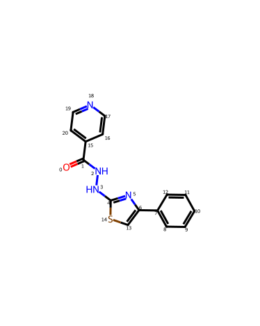 O=C(NNc1nc(-c2ccccc2)cs1)c1ccncc1